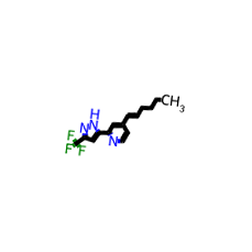 CCCC/C=C/c1ccnc(-c2cc(C(F)(F)F)n[nH]2)c1